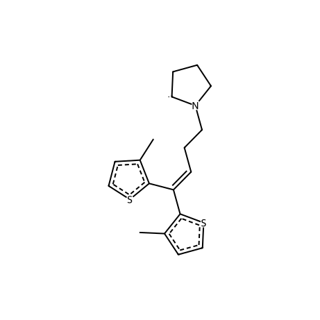 Cc1ccsc1C(=CCCN1[CH]CCC1)c1sccc1C